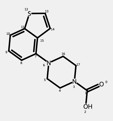 O=C(O)N1CCN(c2cccc3sccc23)CC1